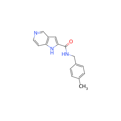 Cc1ccc(CNC(=O)c2cc3cnccc3[nH]2)cc1